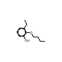 CCCCOc1c(O)cccc1CC